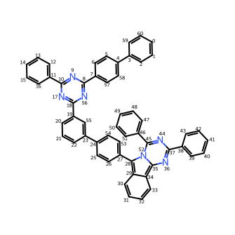 c1ccc(-c2ccc(-c3nc(-c4ccccc4)nc(-c4cccc(-c5ccc(-c6c7ccccc7c7nc(-c8ccccc8)nc(-c8ccccc8)n67)cc5)c4)n3)cc2)cc1